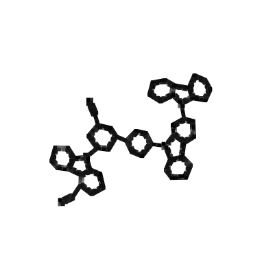 N#Cc1cc(-c2ccc(-n3c4ccccc4c4ccc(-n5c6ccccc6c6ccccc65)cc43)cc2)cc(-n2c3ccccc3c3c(C#N)cccc32)c1